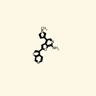 Cn1ccc(-c2cnc(N)c3oc(-c4csc5cnccc45)cc23)c1